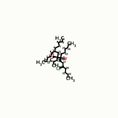 CCCCCC(CCCCC)CC(CCC)(C(C)=O)C(Br)(CCCCC)CCC(Cl)CCCC